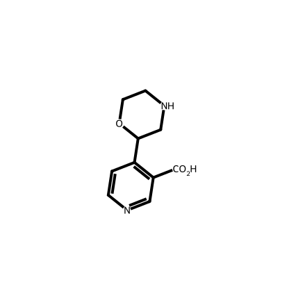 O=C(O)c1cnccc1C1CNCCO1